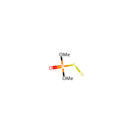 COP(=O)(OC)S[S]